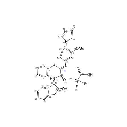 COc1cc(/C=C(\Cc2ccccc2)C(=O)N[C@@H]2c3ccccc3C[C@@H]2O)ccc1-n1cnc(C)c1.O=C(O)C(F)(F)F